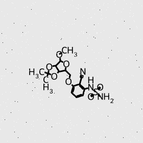 COC1OC(COc2cccc(NS(N)(=O)=O)c2C#N)C2OC(C)(C)OC12